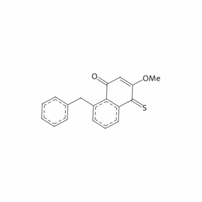 COC1=CC(=O)c2c(Cc3ccccc3)cccc2C1=S